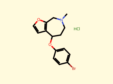 CN1CCC(Oc2ccc(Br)cc2)c2ccoc2C1.Cl